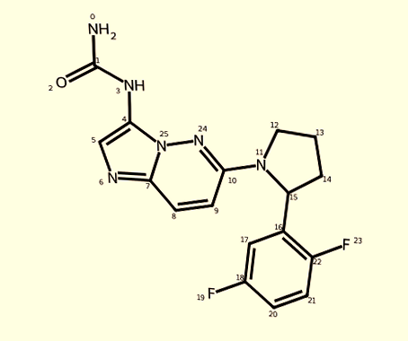 NC(=O)Nc1cnc2ccc(N3CCCC3c3cc(F)ccc3F)nn12